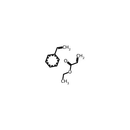 C=CC(=O)OCC.C=Cc1ccccc1